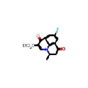 CCOC(=O)c1cn2c3c(cc(F)cc3c1=O)C(=O)CC2C